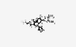 CCOC(=O)c1cn(-c2ccon2)c2cc(N3C[C@@H](N)[C@@H](C)C3)c(F)cc2c1=O